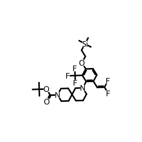 CC(C)(C)OC(=O)N1CCC2(CCCN(c3c(C=C(F)F)ccc(OCC[Si](C)(C)C)c3C(F)(F)F)C2)CC1